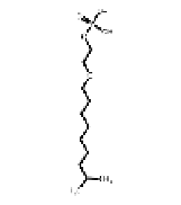 CC(C)CCCCCCCOCCOP(=O)(O)O